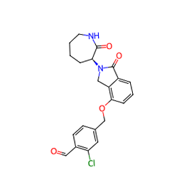 O=Cc1ccc(COc2cccc3c2CN([C@H]2CCCCNC2=O)C3=O)cc1Cl